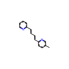 Cc1ccc(C=CC=Cc2ccccn2)nc1